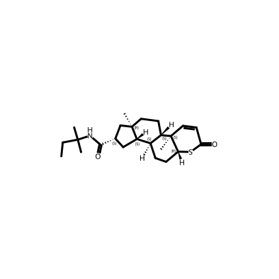 CCC(C)(C)NC(=O)[C@H]1C[C@H]2[C@@H]3CC[C@H]4SC(=O)C=C[C@]4(C)[C@H]3CC[C@]2(C)C1